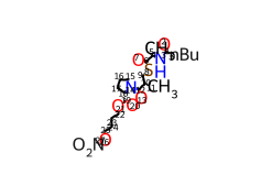 CCCCC(=O)NC(C)C(=O)SC[C@@H](C)C(=O)N1CCC[C@H]1C(=O)OCCCCO[N+](=O)[O-]